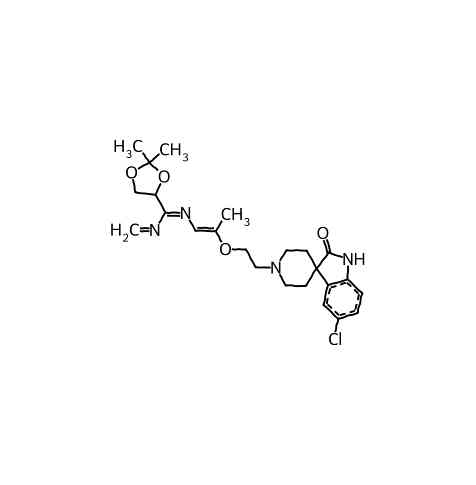 C=N/C(=N\C=C(/C)OCCN1CCC2(CC1)C(=O)Nc1ccc(Cl)cc12)C1COC(C)(C)O1